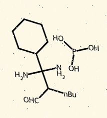 CCCCC(C=O)C(N)(N)C1CCCCC1.OP(O)O